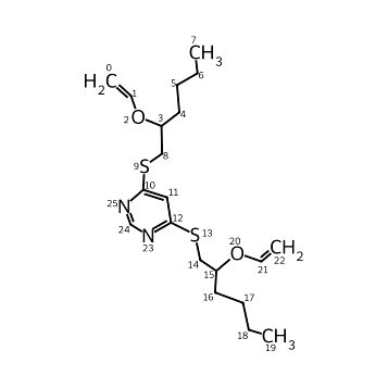 C=COC(CCCC)CSc1cc(SCC(CCCC)OC=C)ncn1